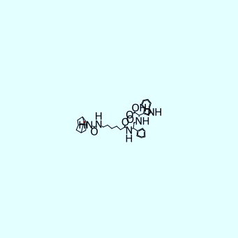 O=C(CCCCCNC(=O)NC12CC3CC(CC(C3)C1)C2)NC(C(=O)NC(C(=O)O)c1c[nH]c2ccccc12)c1ccccc1